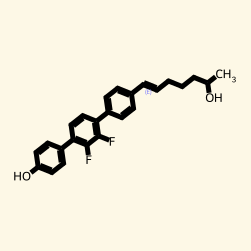 CC(O)CCC/C=C/c1ccc(-c2ccc(-c3ccc(O)cc3)c(F)c2F)cc1